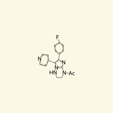 CC(=O)N1CCNn2c1nc(-c1ccc(F)cc1)c2-c1ccncc1